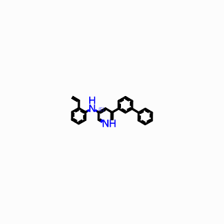 C=Cc1ccccc1N/C(C=N)=C/C(=C)c1cccc(-c2ccccc2)c1